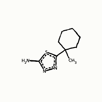 CC1(c2nnc(N)s2)CCCCC1